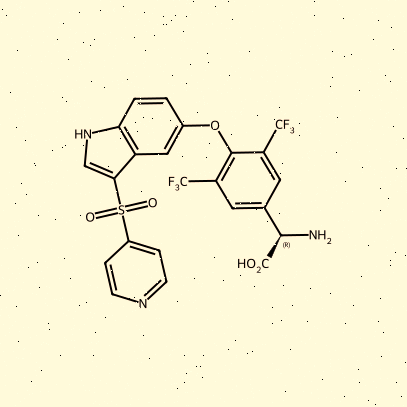 N[C@@H](C(=O)O)c1cc(C(F)(F)F)c(Oc2ccc3[nH]cc(S(=O)(=O)c4ccncc4)c3c2)c(C(F)(F)F)c1